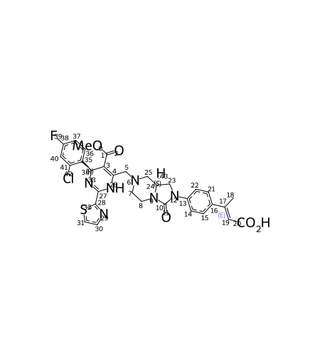 COC(=O)C1=C(CN2CCN3C(=O)N(c4ccc(/C(C)=C/C(=O)O)cc4)C[C@@H]3C2)NC(c2nccs2)=N[C@H]1c1ccc(F)cc1Cl